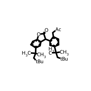 CC(=O)Cc1ccc(C(C)(C)CC(C)(C)C)cc1C1C(=O)Oc2ccc(C(C)(C)CC(C)(C)C)cc21